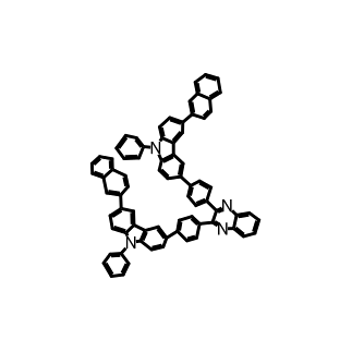 c1ccc(-n2c3ccc(-c4ccc(-c5nc6ccccc6nc5-c5ccc(-c6ccc7c(c6)c6cc(-c8ccc9ccccc9c8)ccc6n7-c6ccccc6)cc5)cc4)cc3c3cc(-c4ccc5ccccc5c4)ccc32)cc1